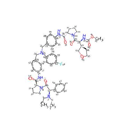 CCN(CC)[C@@H](C(=O)N1CCC[C@H]1C(=O)Nc1ccc(CN(Cc2ccc(NC(=O)[C@@H]3CCCN3C(=O)[C@@H](NC(=O)OC)[C@H]3CCOC3)cc2)c2ccc(F)cc2)cc1)c1ccccc1